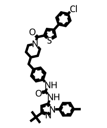 Cc1ccc(-n2nc(C(C)(C)C)cc2NC(=O)Nc2ccc(CC3CCN(C(=O)c4cc(-c5ccc(Cl)cc5)cs4)CC3)cc2)cc1